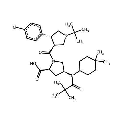 CC1(C)CCC(N(C(=O)C(C)(C)C)[C@H]2C[C@@H](C(=O)O)N(C(=O)[C@@H]3CN(C(C)(C)C)C[C@H]3c3ccc(Cl)cc3)C2)CC1